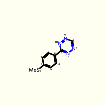 CSc1ccc(-c2nncnn2)cc1